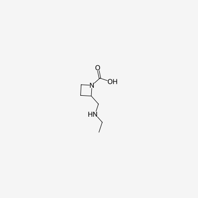 CCNCC1CCN1C(=O)O